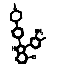 Cc1ccc(-c2c(-c3ccc(N4CCN(C)CC4)cc3)[nH]c3nccc(Cl)c23)cc1N